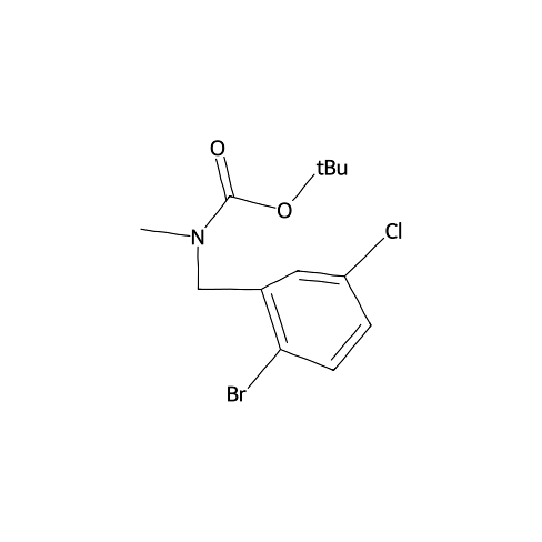 CN(Cc1cc(Cl)ccc1Br)C(=O)OC(C)(C)C